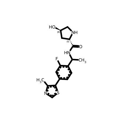 Cc1ncsc1-c1ccc(C(C)NC(=O)[C@@H]2C[C@@H](O)CN2)c(F)c1